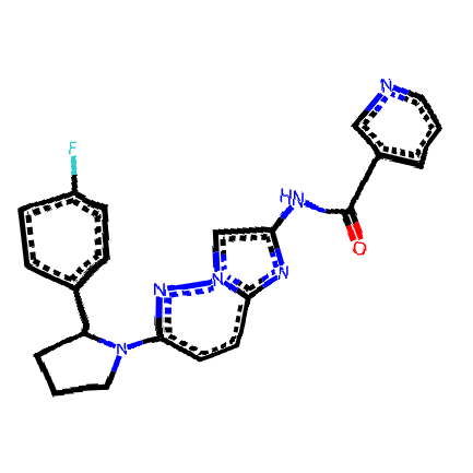 O=C(Nc1cn2nc(N3CCCC3c3ccc(F)cc3)ccc2n1)c1cccnc1